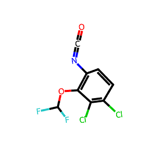 O=C=Nc1ccc(Cl)c(Cl)c1OC(F)F